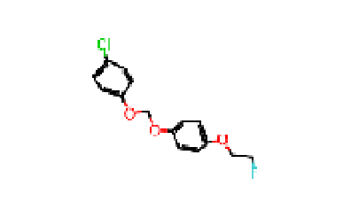 FCCOc1ccc(OCOc2ccc(Cl)cc2)cc1